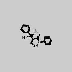 CC(C)(c1ccccc1)N(CS)C(=O)Oc1ccccc1